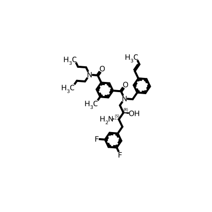 CC=Cc1cccc(CN(C[C@@H](O)[C@@H](N)Cc2cc(F)cc(F)c2)C(=O)c2cc(C)cc(C(=O)N(CCC)CCC)c2)c1